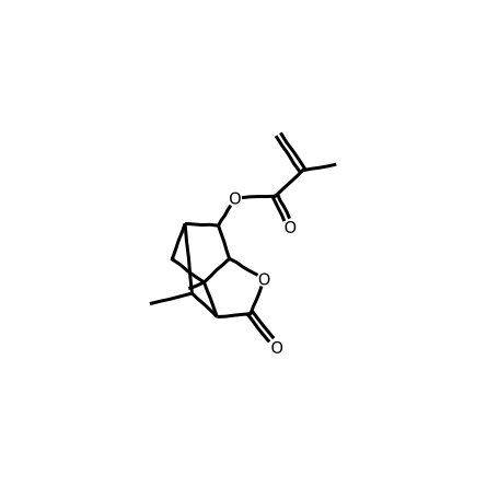 C=C(C)C(=O)OC1C2CC3(C)C1OC(=O)C3C2C